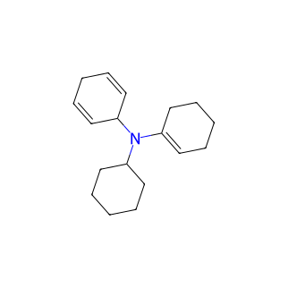 C1=CC(N(C2=CCCCC2)C2CCCCC2)C=CC1